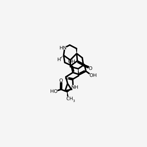 C[C@H](NC(=O)C[C@H]1C[C@@]2(O)[C@H]3Cc4c(CC5CC5)cc(O)cc4[C@@]2(CCN3)CC1=O)C(=O)O